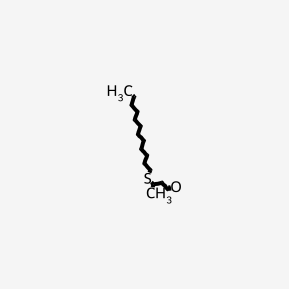 CCCCCCCCCCCCSC(C)CC=O